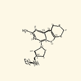 CCN[C@@H]1CCN(c2nc(N)nc3c4c(sc23)CCCC4)C1